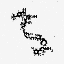 Cc1ncsc1-c1ccc([C@H](C)NC(=O)[C@@H]2C[C@@H](O)CN2C(=O)[C@@H](c2cc(OCCN3CCN(CCOc4cc(N5CC6CCN(c7cc(-c8cc(F)ccc8O)nnc7N)CC5C6)ccn4)[C@H](C)C3)no2)C(C)C)cc1